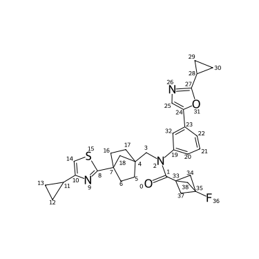 O=C(N(CC12CCC(c3nc(C4CC4)cs3)(CC1)C2)c1cccc(-c2cnc(C3CC3)o2)c1)C12CC(F)(C1)C2